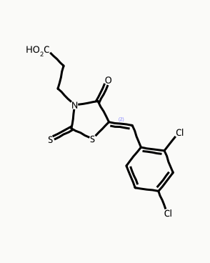 O=C(O)CCN1C(=O)/C(=C/c2ccc(Cl)cc2Cl)SC1=S